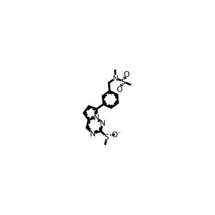 CN(Cc1cccc(-c2ccc3cnc([S+](C)[O-])nn23)c1)S(C)(=O)=O